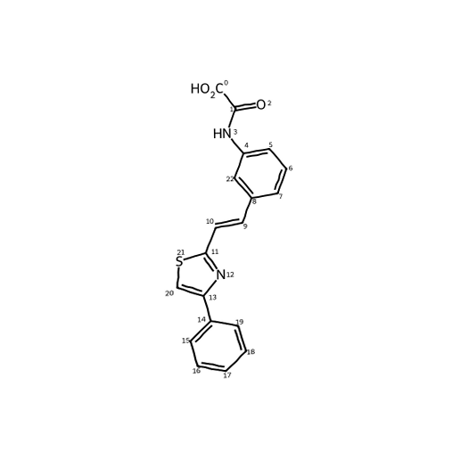 O=C(O)C(=O)Nc1cccc(C=Cc2nc(-c3ccccc3)cs2)c1